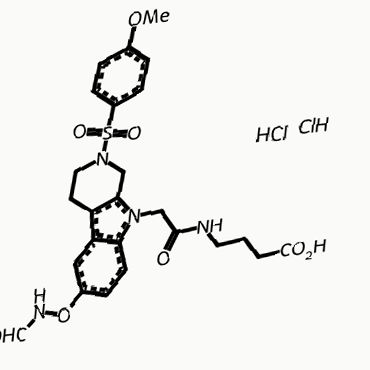 COc1ccc(S(=O)(=O)N2CCc3c(n(CC(=O)NCCCC(=O)O)c4ccc(ONC=O)cc34)C2)cc1.Cl.Cl